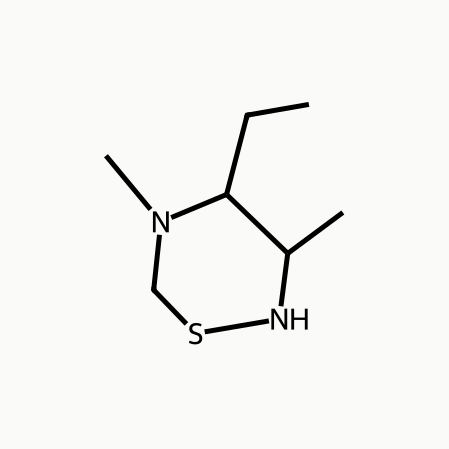 CCC1C(C)NSCN1C